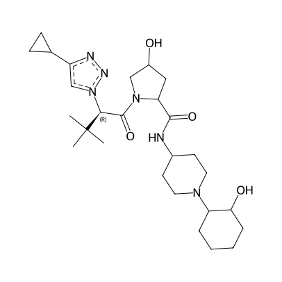 CC(C)(C)[C@H](C(=O)N1CC(O)CC1C(=O)NC1CCN(C2CCCCC2O)CC1)n1cc(C2CC2)nn1